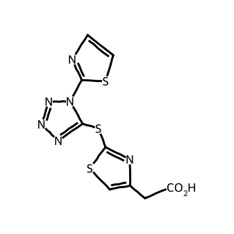 O=C(O)Cc1csc(Sc2nnnn2-c2nccs2)n1